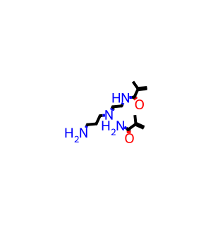 C=C(C)C(=O)NCC=NCCCN.C=C(C)C(N)=O